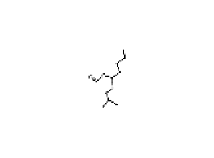 CCCCC(CCC(C)C)O[C]=O